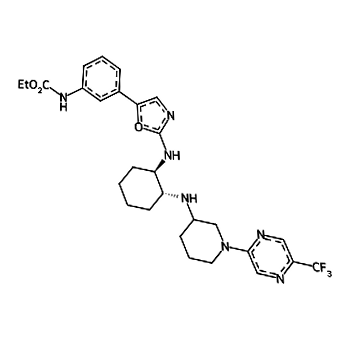 CCOC(=O)Nc1cccc(-c2cnc(N[C@@H]3CCCC[C@H]3NC3CCCN(c4cnc(C(F)(F)F)cn4)C3)o2)c1